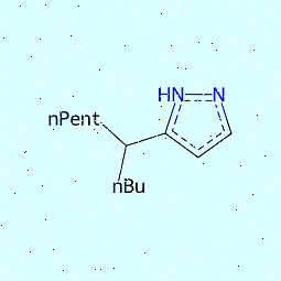 CCCCCC(CCCC)c1ccn[nH]1